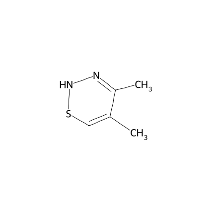 CC1=CSNN=C1C